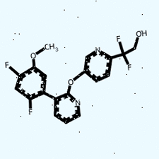 COc1cc(-c2cccnc2Oc2ccc(C(F)(F)CO)nc2)c(F)cc1F